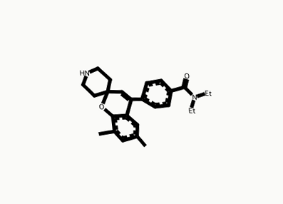 CCN(CC)C(=O)c1ccc(C2=CC3(CCNCC3)Oc3c(C)cc(C)cc32)cc1